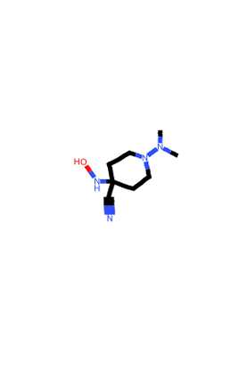 CN(C)N1CCC(C#N)(NO)CC1